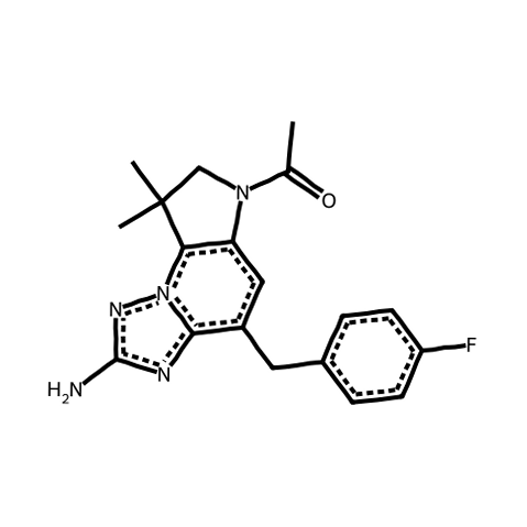 CC(=O)N1CC(C)(C)c2c1cc(Cc1ccc(F)cc1)c1nc(N)nn21